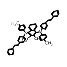 Cc1ccc(N(c2ccc(/C=C/c3ccccc3)cc2)c2c(C)c(C)c(N(c3ccc(C)cc3)c3ccc(/C=C/c4ccccc4)cc3)c3ccccc23)cc1